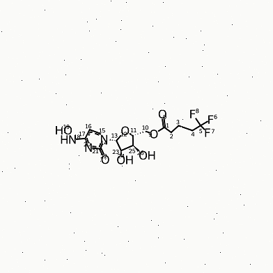 O=C(CCCC(F)(F)F)OC[C@H]1O[C@@H](n2ccc(NO)nc2=O)[C@H](O)[C@@H]1O